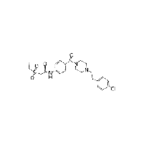 CCS(=O)(=O)CC(=O)Nc1ccc(C(=O)N2CCN(CCc3ccc(Cl)cc3)CC2)cc1